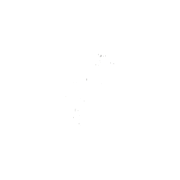 COc1ccc2c(c1)C(=O)NC(c1ccc(OCCOc3c(OC)cc(C4=NOC(c5cc(OC)c(OC)c(OC)c5)C4)cc3OC)c(OC)c1)N2